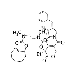 CC[C@@]1(OC(=O)N(C)CCN(C)C(=O)OC2/C=C/CCCCC2)C(=O)OCc2c1cc1n(c2=O)Cc2cc3ccccc3nc2-1